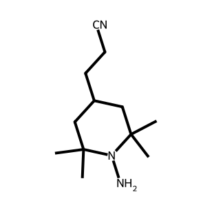 CC1(C)CC(CCC#N)CC(C)(C)N1N